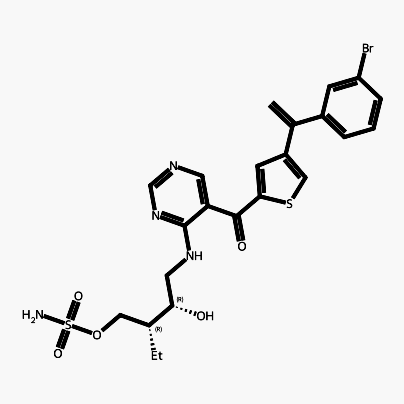 C=C(c1cccc(Br)c1)c1csc(C(=O)c2cncnc2NC[C@H](O)[C@H](CC)COS(N)(=O)=O)c1